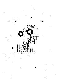 COc1ccc(C=NNC(=O)C[N+](C)(C)C)cc1OC1CCCC1.[Cl-]